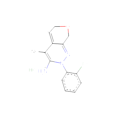 Cl.N#CC1=C(N)N(c2ccccc2F)N=C2COCC=C21